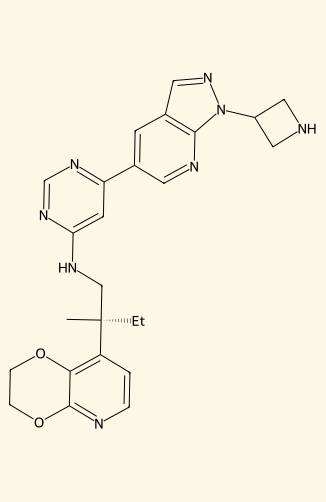 CC[C@](C)(CNc1cc(-c2cnc3c(cnn3C3CNC3)c2)ncn1)c1ccnc2c1OCCO2